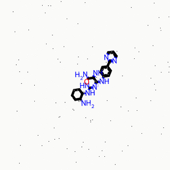 N=C(/N=C(/Nc1ccc(-c2ncccn2)cc1)C(=N)C(N)=O)N[C@@H]1CCCC[C@@H]1N